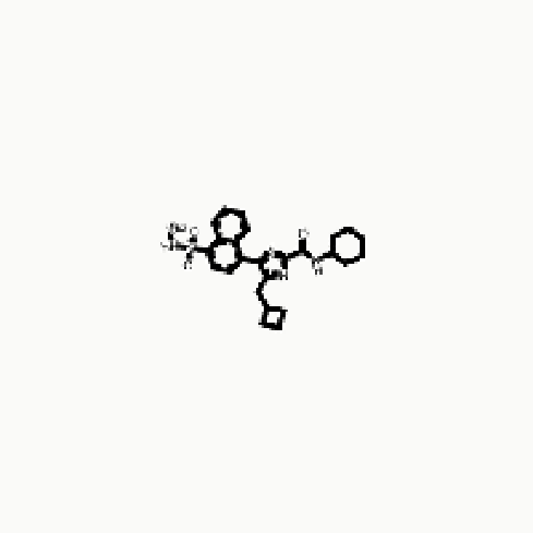 CC(C)(C)NS(=O)(=O)c1ccc(-c2sc(C(=O)NC3CCCCC3)nc2CC2CCC2)c2ccccc12